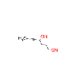 CC#CC(O)CCCO